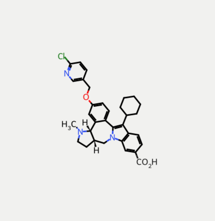 CN1CC[C@H]2Cn3c(c(C4CCCCC4)c4ccc(C(=O)O)cc43)-c3ccc(OCc4ccc(Cl)nc4)cc3[C@H]21